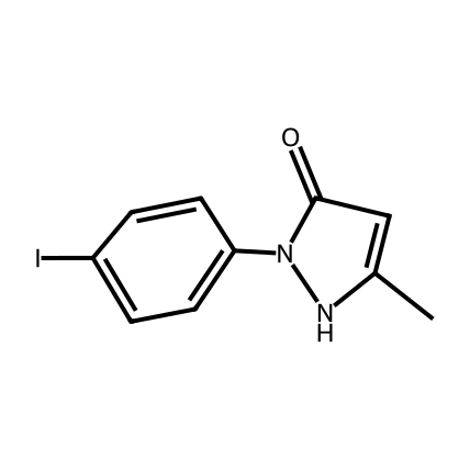 Cc1cc(=O)n(-c2ccc(I)cc2)[nH]1